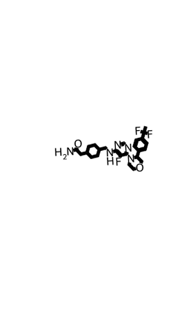 CC(F)(F)c1ccc(C2COCCN2c2ncnc(NCC3CCC(CC(N)=O)CC3)c2F)cc1